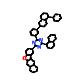 c1ccc(-c2cccc3cc(-c4cccc(-c5nc(-c6ccc7oc8cc9ccccc9cc8c7c6)nc(-c6cccc7ccccc67)n5)c4)ccc23)cc1